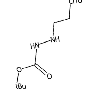 CC(C)(C)OC(=O)NNCCC=O